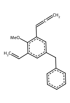 C=C=Cc1cc(Cc2ccccc2)cc(C=C)c1OC